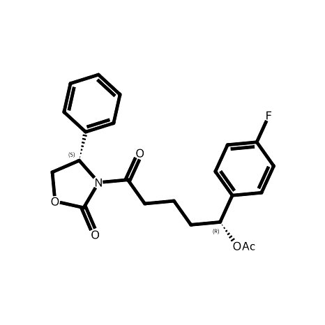 CC(=O)O[C@H](CCCC(=O)N1C(=O)OC[C@@H]1c1ccccc1)c1ccc(F)cc1